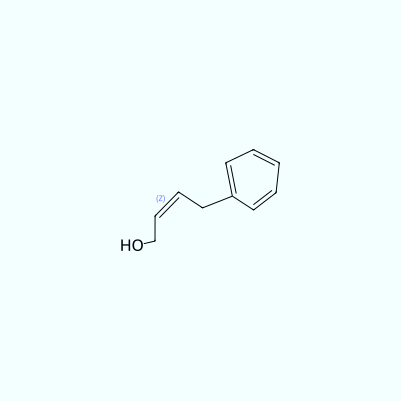 OC/C=C\Cc1ccccc1